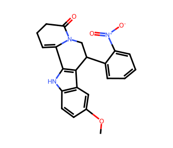 COc1ccc2[nH]c3c(c2c1)C(c1ccccc1[N+](=O)[O-])CN1C(=O)CCC=C31